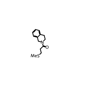 CSCCC(=O)N1CCc2ccccc2C1